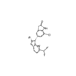 CC(C)n1nc2ccc(C(F)F)nc2c1-c1cc(Cl)c2c(c1)CC(=O)N2